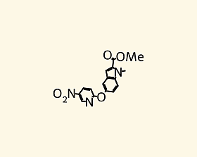 COC(=O)c1cc2cc(Oc3ccc([N+](=O)[O-])cn3)ccc2n1C